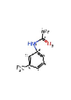 [CH2]CCC(=O)Nc1cccc(C(F)(F)F)c1